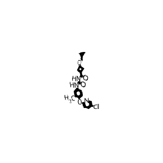 Cc1cc(NC(=O)NC(=O)C2CC(OCC3CC3)C2)ccc1Oc1ccc(Cl)cn1